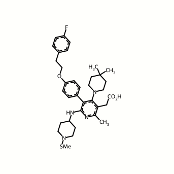 CSN1CCC(Nc2nc(C)c(CC(=O)O)c(N3CCC(C)(C)CC3)c2-c2ccc(OCCc3ccc(F)cc3)cc2)CC1